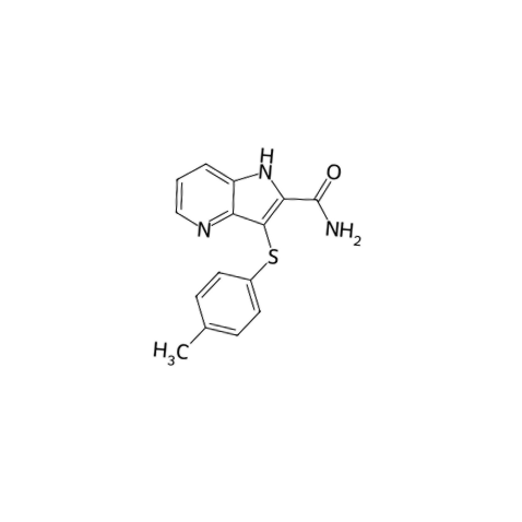 Cc1ccc(Sc2c(C(N)=O)[nH]c3cccnc23)cc1